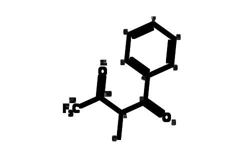 CC(C(=O)c1ccccc1)C(=O)C(F)(F)F